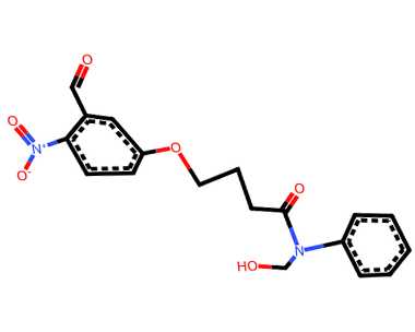 O=Cc1cc(OCCCC(=O)N(CO)c2ccccc2)ccc1[N+](=O)[O-]